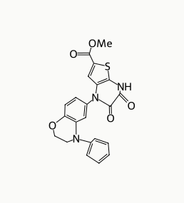 COC(=O)c1cc2c([nH]c(=O)c(=O)n2-c2ccc3c(c2)N(c2ccccc2)CCO3)s1